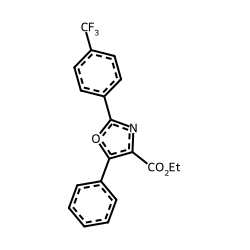 CCOC(=O)c1nc(-c2ccc(C(F)(F)F)cc2)oc1-c1ccccc1